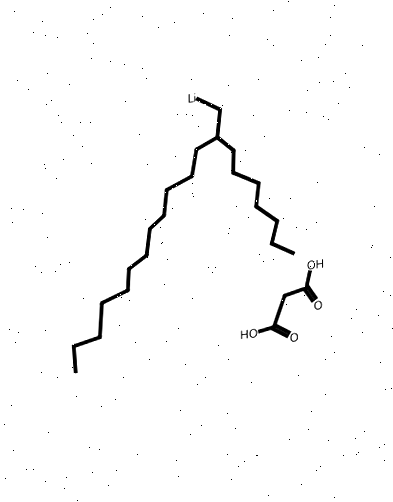 O=C(O)CC(=O)O.[Li][CH2]C(CCCCCCC)CCCCCCCCCCCC